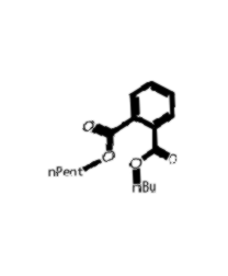 CCCCCOC(=O)c1ccccc1C(=O)OCCCC